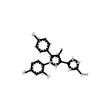 CCCC(C)c1nnc(-c2nn(-c3ccc(Cl)cc3Cl)c(-c3ccc(Cl)cc3)c2C)s1